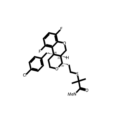 CNC(=O)C(C)(C)SCC[C@@H]1OCC[C@@]2(Cc3ccc(Cl)cc3)c3c(F)ccc(F)c3OC[C@@H]12